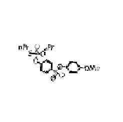 CCCSP(=O)(Oc1ccc(S(=O)(=O)Oc2ccc(OC)cc2)cc1)OC(C)C